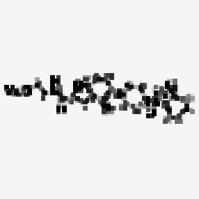 COCCNC(=O)c1cc2c(Br)c(N3CCN(S(=O)(=O)c4ccccc4Cl)CC3)ccc2o1